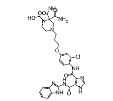 NC(=O)C1(C(N)=O)CN(CCCOc2ccc(NC(=O)c3nc[nH]c3C(=O)Nc3nc4ccccc4[nH]3)c(Cl)c2)CCN1C(=O)O